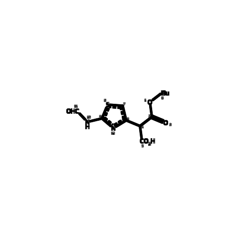 CCC(C)OC(=O)C(C(=O)O)c1csc(NC=O)n1